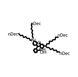 CCCCCCCCCCCCCCCCCCC(CCCCCCCCCCCCCCCCCC)c1ccc2c(-c3ccccc3C(O)O)c3ccc(=[N+](CCCCCCCCCCCCCCCCCC)CCCCCCCCCCCCCCCCCC)cc-3oc2c1